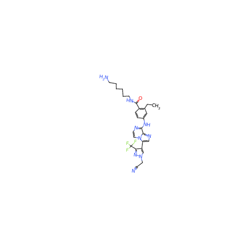 CCc1cc(Nc2nccn3c(-c4cn(CC#N)nc4C(F)(F)F)cnc23)ccc1C(=O)NCCCCCCN